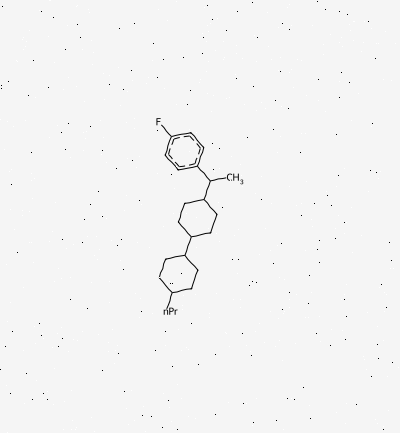 CCCC1CCC(C2CCC(C(C)c3ccc(F)cc3)CC2)CC1